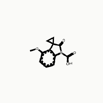 COc1cccc2c1C1(CC1)C(=O)N2C(=O)O